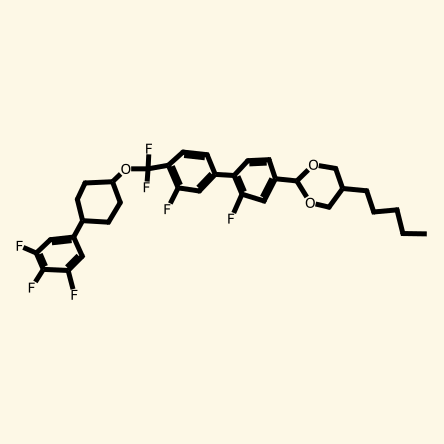 CCCCCC1COC(c2ccc(-c3ccc(C(F)(F)OC4CCC(c5cc(F)c(F)c(F)c5)CC4)c(F)c3)c(F)c2)OC1